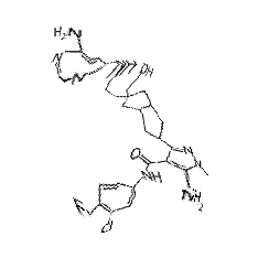 Cn1nc(C2CC3CC(O)(CNc4cc(N)ncn4)CC3C2)c(C(=O)Nc2ccc(F)c(Cl)c2)c1N